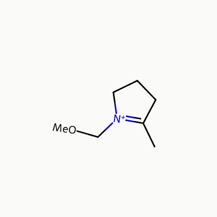 COC[N+]1=C(C)CCC1